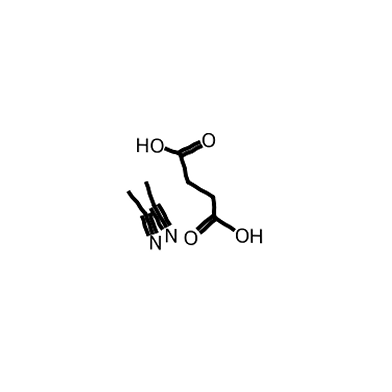 CC#N.CC#N.O=C(O)CCC(=O)O